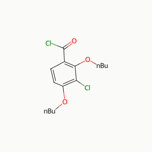 CCCCOc1ccc(C(=O)Cl)c(OCCCC)c1Cl